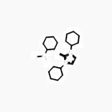 ClN(Cl)C1CCCCC1.[Pt]=[c]1n(C2CCCCC2)ccn1C1CCCCC1